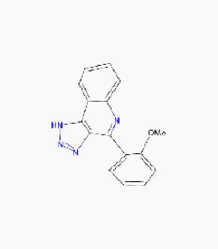 COc1ccccc1-c1nc2ccccc2c2[nH]nnc12